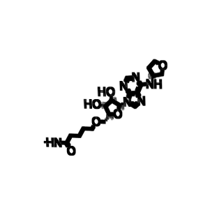 [NH]C(=O)CCCCOC[C@H]1O[C@@H](n2cnc3c(N[C@@H]4CCOC4)ncnc32)[C@H](O)[C@H]1O